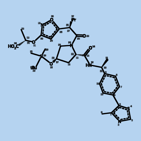 Cc1ncsc1-c1ccc([C@H](C)NC(=O)[C@@H]2C[C@@H](O[Si](C)(C)C(C)(C)C)CN2C(=O)[C@@H](c2cc(O[C@@H](C)C(=O)O)no2)C(C)C)cc1